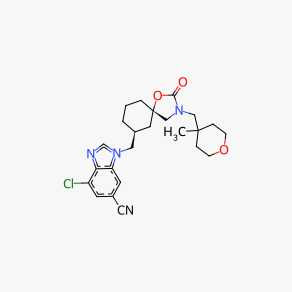 CC1(CN2C[C@@]3(CCC[C@H](Cn4cnc5c(Cl)cc(C#N)cc54)C3)OC2=O)CCOCC1